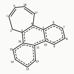 C1=CCc2c(c3ccccc3c3ccccc23)C=C1